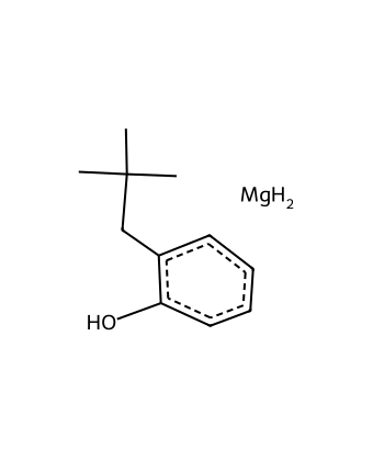 CC(C)(C)Cc1ccccc1O.[MgH2]